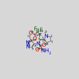 CN1CCC[C@H]1CN(C1=CN=NC1(C)OC(=O)C(F)(F)F)S(N)(=O)=O